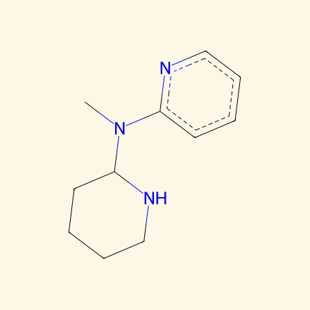 CN(c1ccccn1)C1CCCCN1